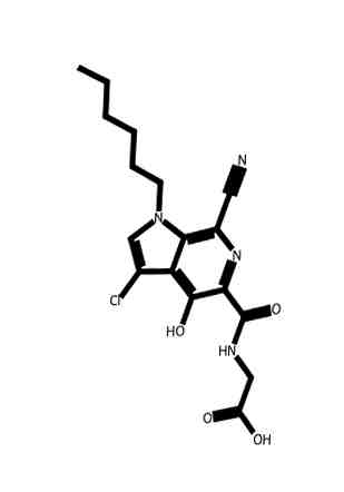 CCCCCCn1cc(Cl)c2c(O)c(C(=O)NCC(=O)O)nc(C#N)c21